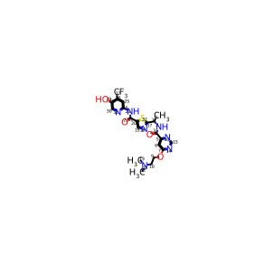 CC(NC(=O)c1cc(OCCN(C)C)ncn1)c1ncc(C(=O)Nc2cc(C(F)(F)F)c(O)cn2)s1